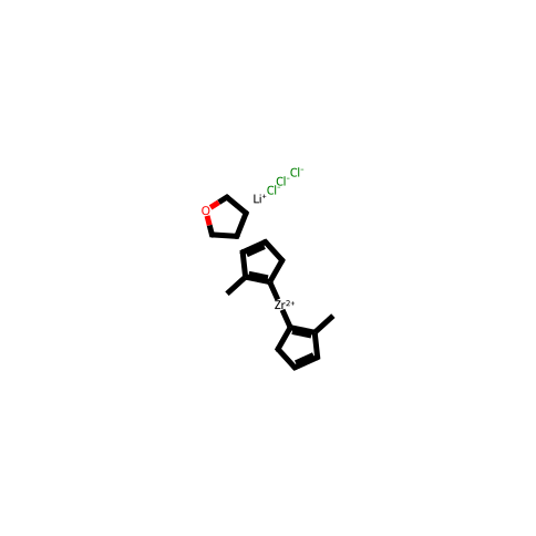 C1CCOC1.CC1=[C]([Zr+2][C]2=C(C)C=CC2)CC=C1.[Cl-].[Cl-].[Cl-].[Li+]